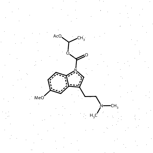 COc1ccc2c(c1)c(CCN(C)C)cn2C(=O)OC(C)OC(C)=O